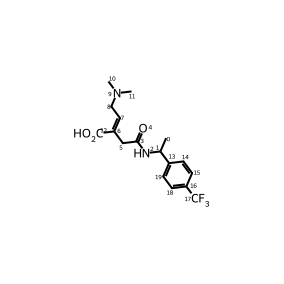 CC(NC(=O)CC(=CCN(C)C)C(=O)O)c1ccc(C(F)(F)F)cc1